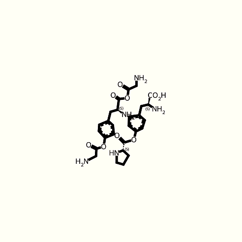 NCC(=O)OC(=O)[C@@H](N)Cc1ccc(OC(=O)CN)cc1.N[C@@H](Cc1ccc(OC(=O)[C@@H]2CCCN2)cc1)C(=O)O